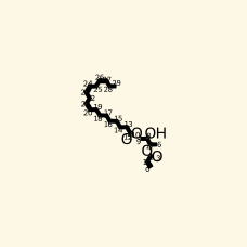 C=CC(=O)OC(C)C(O)COC(=O)CCCCCCC/C=C\C/C=C\C/C=C\CC